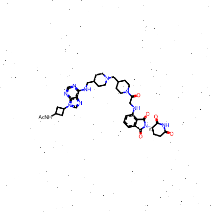 CC(=O)NC1CC(n2cnc3c(NCC4CCN(CC5CCN(C(=O)CNc6cccc7c6C(=O)N([C@H]6CCC(=O)NC6=O)C7=O)CC5)CC4)ncnc32)C1